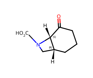 O=C1CCC[C@@H]2CN(C(=O)O)[C@H]12